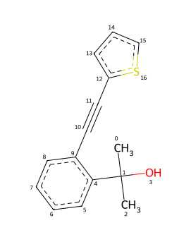 CC(C)(O)c1ccccc1C#Cc1cccs1